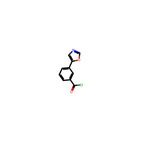 O=C(Cl)c1cccc(-c2cnco2)c1